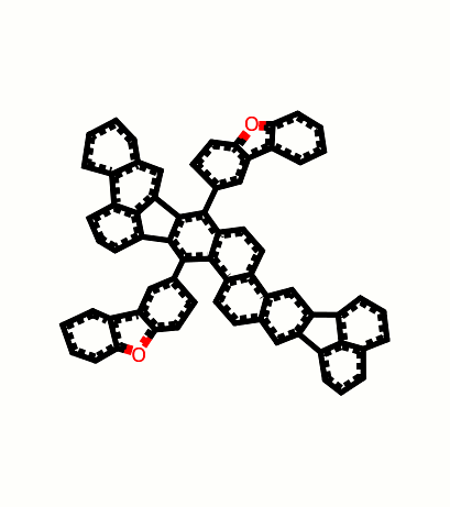 c1cc2c3c(cccc3c1)-c1cc3c(ccc4c3ccc3c(-c5ccc6oc7ccccc7c6c5)c5c(c(-c6ccc7oc8ccccc8c7c6)c34)-c3cccc4c3c-5cc3ccccc34)cc1-2